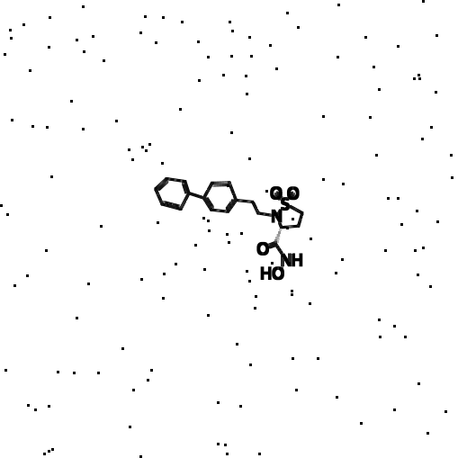 O=C(NO)[C@H]1CCS(=O)(=O)N1CCc1ccc(-c2ccccc2)cc1